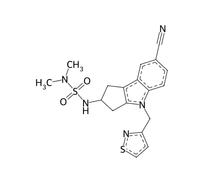 CN(C)S(=O)(=O)NC1Cc2c(n(Cc3ccsn3)c3ccc(C#N)cc23)C1